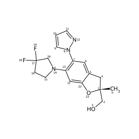 C[C@]1(CO)Cc2cc(-n3cccn3)c(N3CCC(F)(F)C3)cc2O1